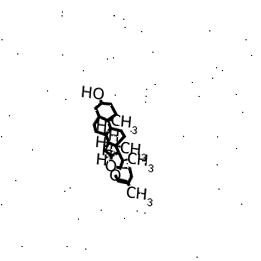 CC1=CO[C@]2(CC1)O[C@H]1C[C@H]3[C@@H]4CCC5CC(O)CC[C@]5(C)[C@H]4CC[C@]3(C)[C@H]1[C@H]2C